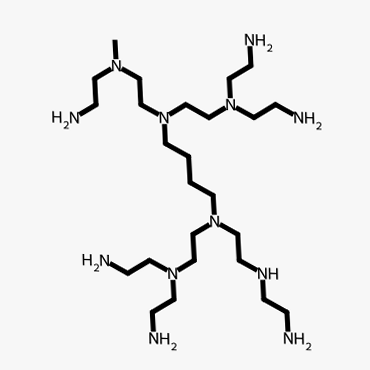 CN(CCN)CCN(CCCCN(CCNCCN)CCN(CCN)CCN)CCN(CCN)CCN